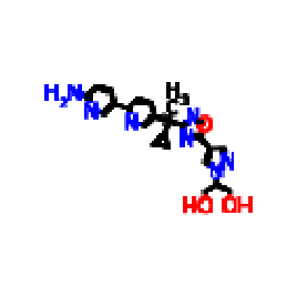 C[C@@](c1ccc(-c2ccc(N)nc2)nc1)(c1noc(-c2cnn(C(CO)CO)c2)n1)C1CC1